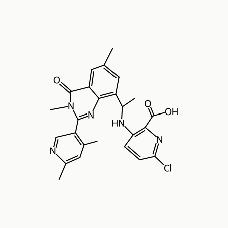 Cc1cc(C(C)Nc2ccc(Cl)nc2C(=O)O)c2nc(-c3cnc(C)cc3C)n(C)c(=O)c2c1